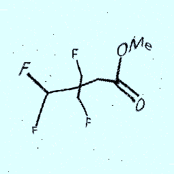 COC(=O)C(F)(F)[C](F)F